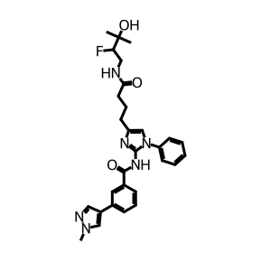 Cn1cc(-c2cccc(C(=O)Nc3nc(CCCC(=O)NCC(F)C(C)(C)O)cn3-c3ccccc3)c2)cn1